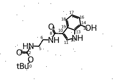 CC(C)(C)OC(=O)NCCNC(=O)c1c[nH]c2c(O)cccc12